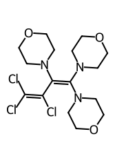 ClC(Cl)=C(Cl)C(=C(N1CCOCC1)N1CCOCC1)N1CCOCC1